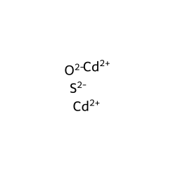 [Cd+2].[Cd+2].[O-2].[S-2]